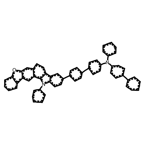 c1ccc(-c2ccc(N(c3ccccc3)c3ccc(-c4ccc(-c5ccc6c(c5)c5ccc7cc8oc9ccccc9c8cc7c5n6-c5ccccc5)cc4)cc3)cc2)cc1